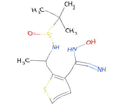 CC(N[S+]([O-])C(C)(C)C)c1sccc1C(=N)NO